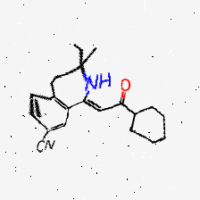 CC1(C)Cc2ccc(C#N)cc2C(=CC(=O)C2CCCCC2)N1